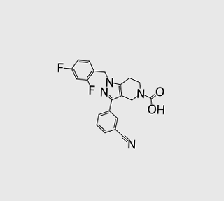 N#Cc1cccc(-c2nn(Cc3ccc(F)cc3F)c3c2CN(C(=O)O)CC3)c1